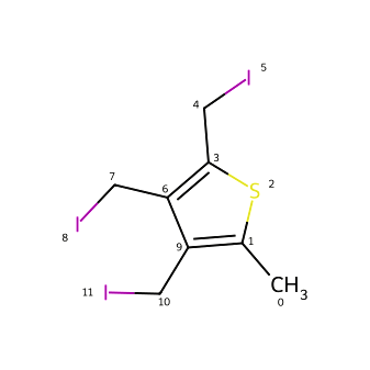 Cc1sc(CI)c(CI)c1CI